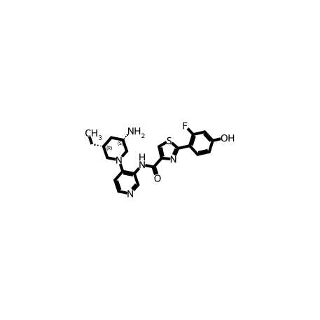 CC[C@@H]1C[C@H](N)CN(c2ccncc2NC(=O)c2csc(-c3ccc(O)cc3F)n2)C1